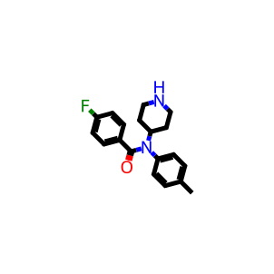 Cc1ccc(N(C(=O)c2ccc(F)cc2)C2CCNCC2)cc1